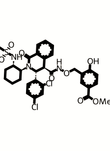 COC(=O)c1ccc(O)c(CONC(=O)[C@@H]2c3ccccc3C(=O)N([C@H]3CCCC[C@@H]3NS(C)(=O)=O)[C@H]2c2ccc(Cl)cc2Cl)c1